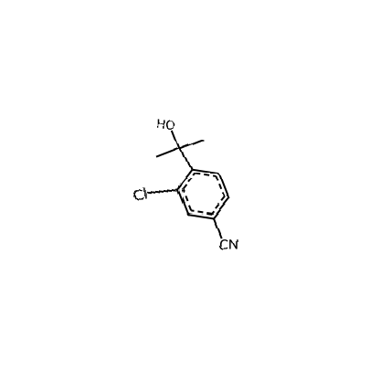 CC(C)(O)c1ccc(C#N)cc1Cl